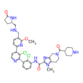 COc1nc(-c2ccnc(-c3cccc(NC(=O)c4nc5c(n4C)CCN(C(=O)C4CCNCC4)C5)c3Cl)c2Cl)ccc1CNC[C@H]1CCC(=O)N1